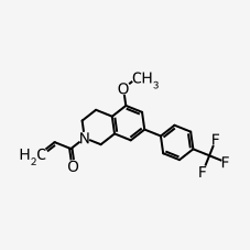 C=CC(=O)N1CCc2c(cc(-c3ccc(C(F)(F)F)cc3)cc2OC)C1